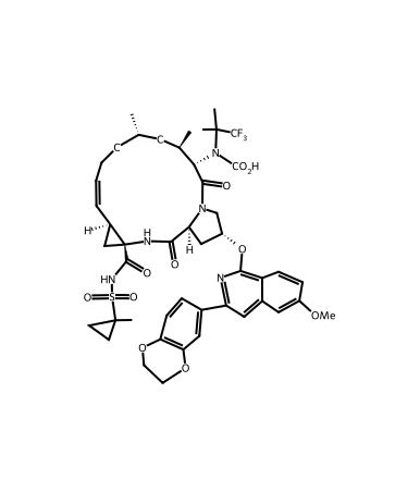 COc1ccc2c(O[C@@H]3C[C@H]4C(=O)N[C@]5(C(=O)NS(=O)(=O)C6(C)CC6)C[C@H]5C=CCC[C@H](C)C[C@@H](C)[C@H](N(C(=O)O)C(C)(C)C(F)(F)F)C(=O)N4C3)nc(-c3ccc4c(c3)OCCO4)cc2c1